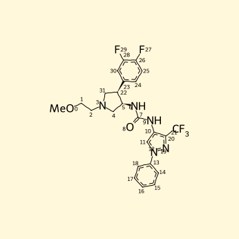 COCCN1C[C@H](NC(=O)Nc2cn(-c3ccccc3)nc2C(F)(F)F)[C@H](c2ccc(F)c(F)c2)C1